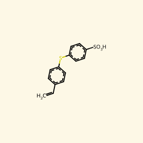 C=Cc1ccc(Sc2ccc(S(=O)(=O)O)cc2)cc1